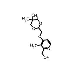 Cc1c(OCC2OCC(C)(C)CO2)ccnc1CO